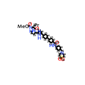 COC(=O)N[C@@H](C(=O)N1CCC[C@@H]1c1ncc(-c2ccc(-c3ccc(C(=O)Nc4ccc(CN5CCS(=O)(=O)CC5)cc4)cc3)cc2)[nH]1)C(C)C